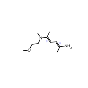 COCCN(C)/C(C)=C/C=C(\C)N